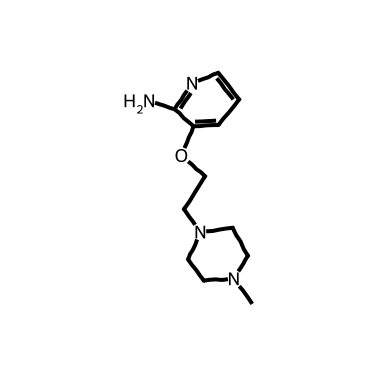 CN1CCN(CCOc2cccnc2N)CC1